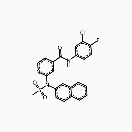 CS(=O)(=O)N(c1ccc2ccccc2c1)c1cc(C(=O)Nc2ccc(F)c(Cl)c2)ccn1